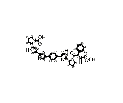 COC(=O)N[C@@H](C(=O)N1CCC[C@H]1c1nc(-c2ccc(-c3cnc(-c4c[nH]c([C@@H]5CCCN5C(=O)O)n4)o3)cc2)c[nH]1)c1ccccc1